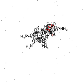 CCC(C)[C@H](NC(=O)[C@H](CCCCN)NC(=O)[C@H](CCCCN)NC(=O)[C@H](C)NC(=O)[C@H](CC(C)C)NC(=O)[C@H](C)NC(=O)[C@H](C)NC(=O)[C@H](CC(C)C)NC(=O)[C@H](C)NC(=O)[C@H](CCCCN)NC(=O)[C@H](CC(C)C)NC(=O)[C@H](CC(N)=O)NC(=O)[C@@H](N)[C@@H](C)CC)C(=O)N[C@@H](CC(C)C)C(N)=O